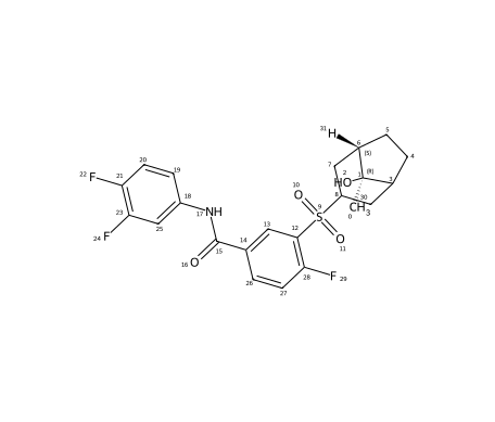 C[C@@]1(O)C2CC[C@H]1CC(S(=O)(=O)c1cc(C(=O)Nc3ccc(F)c(F)c3)ccc1F)C2